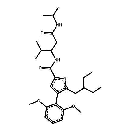 CCC(CC)Cn1nc(C(=O)NC(CC(=O)NC(C)C)C(C)C)cc1-c1c(OC)cccc1OC